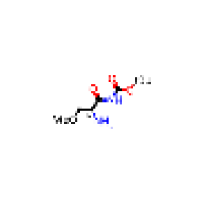 COC[C@H](N)C(=O)NC(=O)OC(C)(C)C